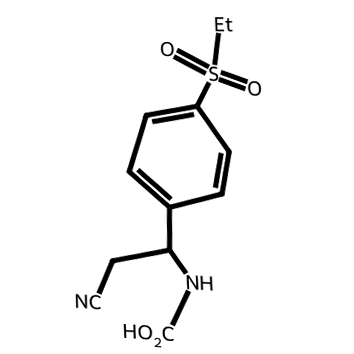 CCS(=O)(=O)c1ccc(C(CC#N)NC(=O)O)cc1